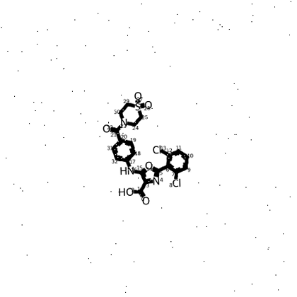 O=C(O)c1nc(-c2c(Cl)cccc2Cl)oc1Nc1ccc(C(=O)N2CCS(=O)(=O)CC2)cc1